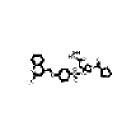 Cc1cc(COc2ccc(S(=O)(=O)NC3(CC(=O)NO)CN(C(=O)C4CCCC4)C3)cc2)c2ccccc2n1